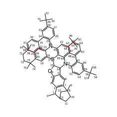 CC1c2cc3c(cc2C2(C)CCC1C2)C1C(O3)B2c3cc4c(cc3N(c3ccc(C(C)(C)C)cc3-c3ccccc3)c3cc(C(C)(C)C)cc(c32)N1c1ccc(C(C)(C)C)cc1-c1ccccc1)C(C)(C)CCC4(C)C